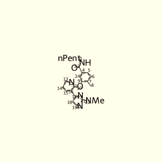 CCCCCNC(=O)c1ccc(C)c(Oc2ncccc2-c2ccnc(NC)n2)c1